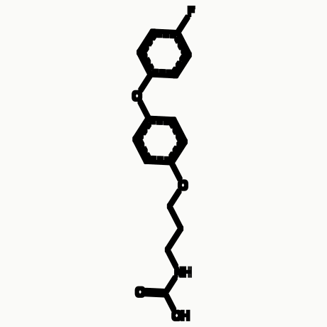 O=C(O)NCCCOc1ccc(Oc2ccc(F)cc2)cc1